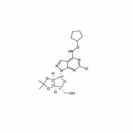 CC1(C)O[C@@H]2[C@H](O1)[C@@H](CO)O[C@H]2n1ncc2c(NOC3CCCC3)nc(Cl)nc21